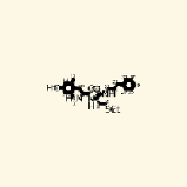 CCSCC[C@@H](NC(=O)C(N)Cc1c(C)cc(O)cc1C)C(=O)NCCCc1ccccc1